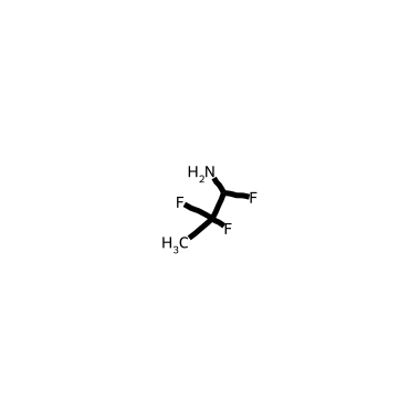 CC(F)(F)C(N)F